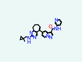 CC1(CNc2ncc3c(n2)CCCC=C3c2ccn3ncc(C(=O)Nc4cccnc4)c3c2)CC1